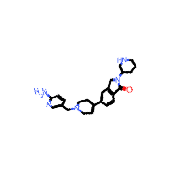 Nc1ccc(CN2CCC(c3ccc4c(c3)CN(C3CCCNC3)C4=O)CC2)cn1